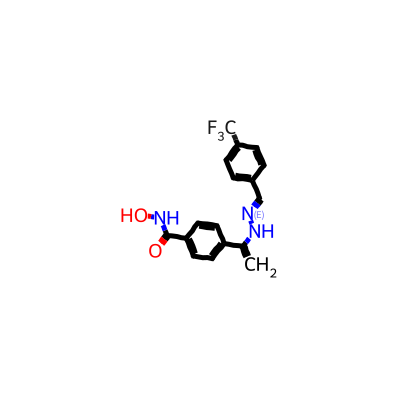 C=C(N/N=C/c1ccc(C(F)(F)F)cc1)c1ccc(C(=O)NO)cc1